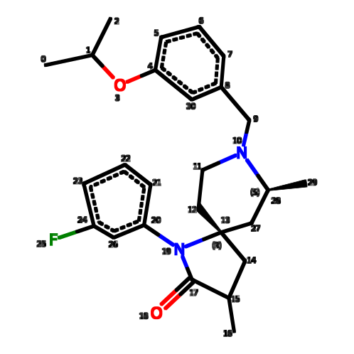 CC(C)Oc1cccc(CN2CC[C@]3(CC(C)C(=O)N3c3cccc(F)c3)C[C@@H]2C)c1